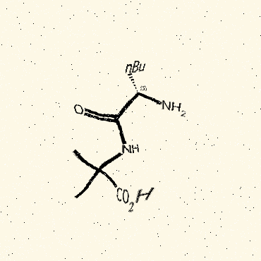 CCCC[C@H](N)C(=O)NC(C)(C)C(=O)O